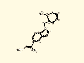 C/C(=C\C(=O)O)c1ccc2c(ccn2Cc2ccccc2C)c1